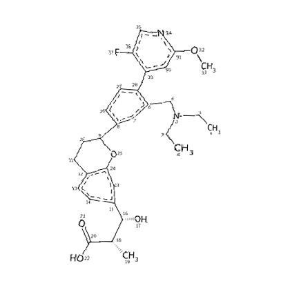 CCN(CC)Cc1cc(C2CCc3ccc([C@H](O)[C@H](C)C(=O)O)cc3O2)ccc1-c1cc(OC)ncc1F